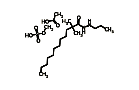 CC(=O)O.CCCCCCCCCCC(C)(C)C(=O)NNCCC.COS(=O)(=O)O